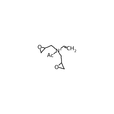 C=C[N+](CC1CO1)(CC1CO1)C(C)=O